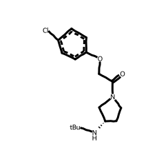 CC(C)(C)N[C@H]1CCN(C(=O)COc2ccc(Cl)cc2)C1